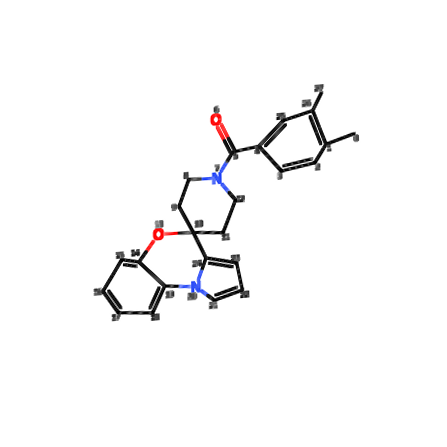 Cc1ccc(C(=O)N2CCC3(CC2)Oc2ccccc2-n2cccc23)cc1C